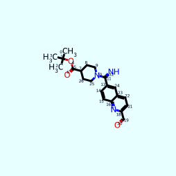 CC(C)(C)OC(=O)C1CCN(C(=N)c2ccc3nc(C=O)ccc3c2)CC1